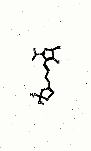 CCn1nc(C(F)F)c(C=CCSC2=NOC(C)(C)C2)c1Cl